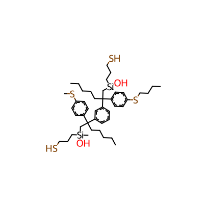 CCCCCC(C[Si](C)(O)CCCS)(c1ccc(SC)cc1)c1cccc(C(CCCCC)(C[Si](C)(O)CCCS)c2ccc(SCCCC)cc2)c1